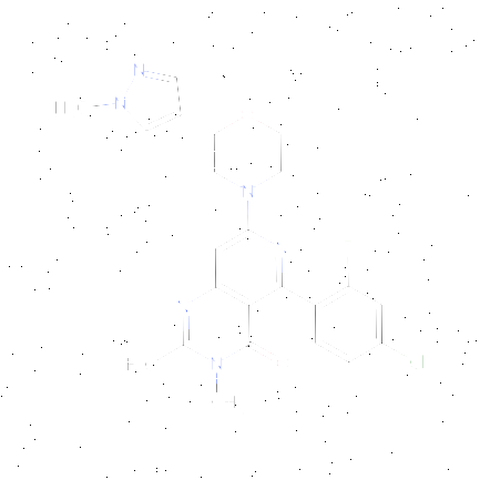 Cn1cc([C@H]2CN(c3cc4nc(C(F)(F)F)n(C)c(=O)c4c(-c4ccc(Cl)cc4F)n3)CCO2)cn1